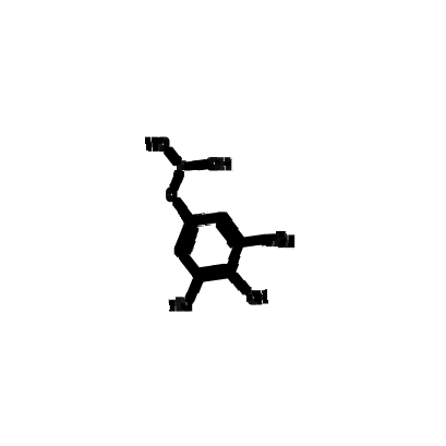 CCCCc1cc(OP(O)O)cc(CCCC)c1O